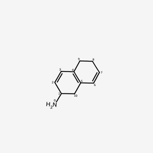 NC1C=CC2=C(C=CCC2)C1